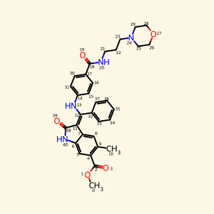 COC(=O)c1cc2c(cc1C)/C(=C(/Nc1ccc(C(=O)NCCCN3CCOCC3)cc1)c1ccccc1)C(=O)N2